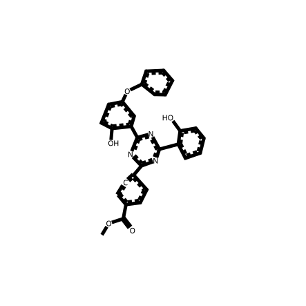 COC(=O)c1ccc(-c2nc(-c3ccccc3O)nc(-c3cc(Oc4ccccc4)ccc3O)n2)cc1